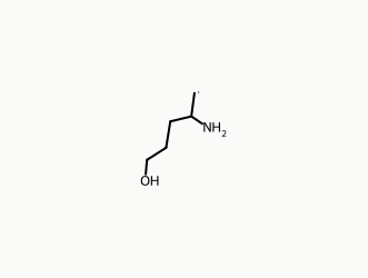 [CH2]C(N)CCCO